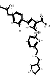 CC(O)Cc1ccc(-c2cc(C(N)=O)c(Nc3cccc(COCC4CCOC4)n3)s2)c(F)c1